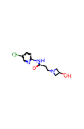 O=C(CCN1CC(O)C1)Nc1ccc(Cl)cn1